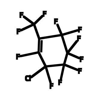 FC1=C(C(F)(F)F)C(F)(F)C(F)(F)C(F)(F)C1(F)Cl